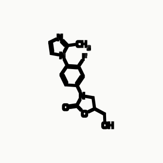 Cc1nccn1-c1ccc(N2CC(CO)OC2=O)cc1F